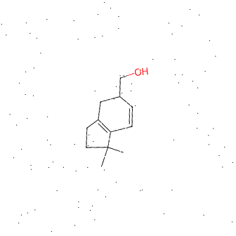 CC1(C)CCC2=C1C=CC(CO)C2